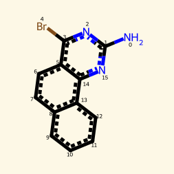 Nc1nc(Br)c2ccc3ccccc3c2n1